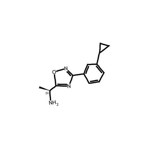 C[C@H](N)c1nc(-c2cccc(C3CC3)c2)no1